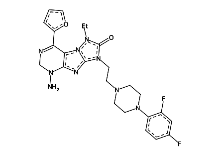 CCn1c(=O)n(CCN2CCN(c3ccc(F)cc3F)CC2)c2nc3c(n21)C(c1ccco1)=NCN3N